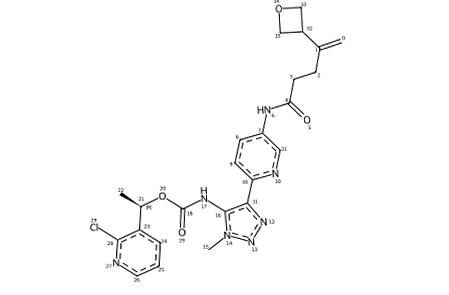 C=C(CCC(=O)Nc1ccc(-c2nnn(C)c2NC(=O)O[C@H](C)c2cccnc2Cl)nc1)C1COC1